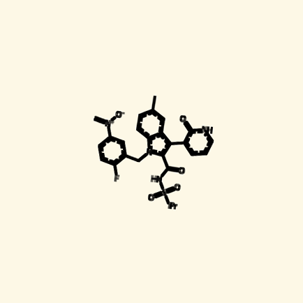 C=[N+]([O-])c1ccc(F)c(Cn2c(C(=O)NS(=O)(=O)C(C)C)c(-c3ccc[nH]c3=O)c3cc(C)ccc32)c1